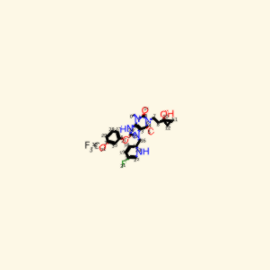 Cn1c2c(c(=O)n(CCC3(O)CC3)c1=O)N(CC1C=CC(F)=CN1)C(Oc1cccc(OC(F)(F)F)c1)N2